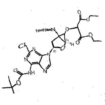 CCOC(=O)C(OC1[C@H]2O[C@@H](n3cnc4c(NC(=O)OC(C)(C)C)nc(Cl)nc43)CC12N=[N+]=[N-])C(=O)OCC